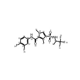 Cc1c(S(=O)(=O)NC(C)C(F)(F)F)cn(C)c1C(=O)Nc1ccc(F)c(F)c1